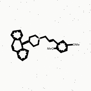 COc1ccc(OC)c(C=CCN2CCC(=C3c4ccccc4C=Cc4ccccc43)CC2)c1